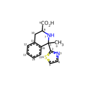 CC1(c2nccs2)NC(C(=O)O)Cc2ccccc21